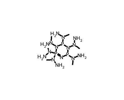 CN(N)N1P(N(C)N)N=P(N(C)N)(N(C)N)N(N(C)N)P1N(C)N